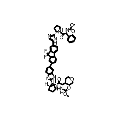 COC(=O)N[C@H](C(=O)N1[C@@H]2CC[C@@H](C2)[C@H]1c1nc2ccc(-c3ccc4c(c3)C(F)(F)c3cc(-c5cnc([C@@H]6CCCN6C(=O)[C@H](NC(=O)OC)c6ccccc6)[nH]5)ccc3-4)cc2[nH]1)C1CCOCC1